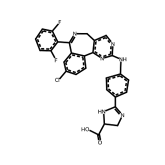 O=C(O)C1CN=C(c2ccc(Nc3ncc4c(n3)-c3ccc(Cl)cc3C(c3c(F)cccc3F)=NC4)cc2)N1